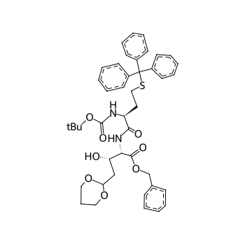 CC(C)(C)OC(=O)N[C@@H](CCSC(c1ccccc1)(c1ccccc1)c1ccccc1)C(=O)N[C@H](C(=O)OCc1ccccc1)[C@@H](O)CC1OCCCO1